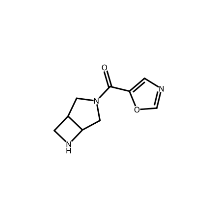 O=C(c1cnco1)N1CC2CNC2C1